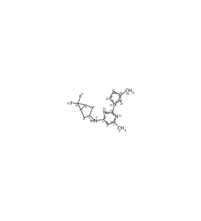 Cc1cc(NC2CC3C(C2)C3(F)F)nc(-n2ccc(C)n2)n1